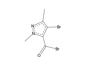 Cc1nn(C)c(C(=O)Br)c1Br